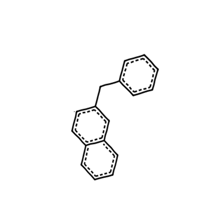 [c]1cc2ccccc2cc1Cc1ccccc1